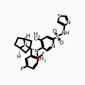 Cc1cc(S(=O)(=O)Nc2cscn2)ncc1N(C)[C@@H]1C[C@H]2CC[C@@H](C1)N2Cc1cc(F)ccc1F